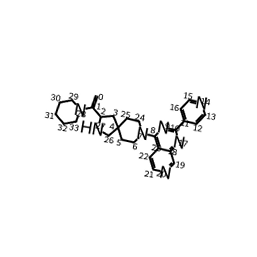 C=C(C1CC2(CCN(c3nc(-c4ccncc4)nc4cnccc34)CC2)CN1)N1CCCCC1